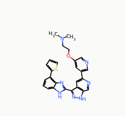 CN(C)CCOc1cncc(-c2cc3c(-c4nc5c(-c6cccs6)cccc5[nH]4)n[nH]c3cn2)c1